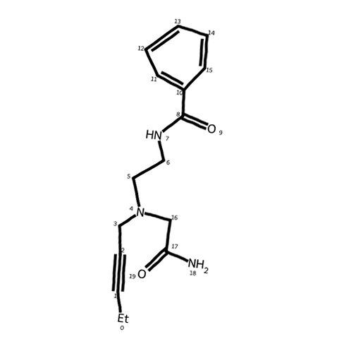 CCC#CCN(CCNC(=O)c1ccccc1)CC(N)=O